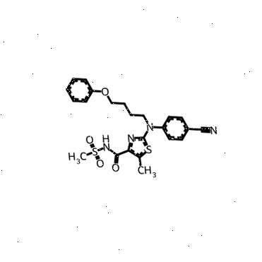 Cc1sc(N(CCCCOc2ccccc2)c2ccc(C#N)cc2)nc1C(=O)NS(C)(=O)=O